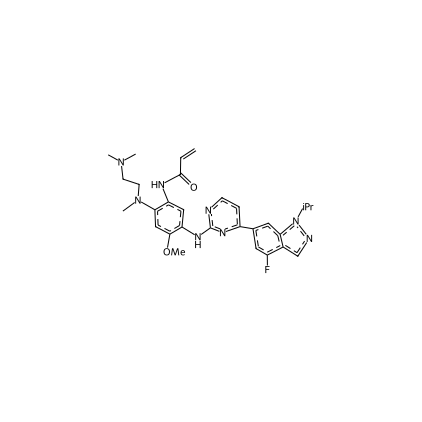 C=CC(=O)Nc1cc(Nc2nccc(-c3cc(F)c4cnn(C(C)C)c4c3)n2)c(OC)cc1N(C)CCN(C)C